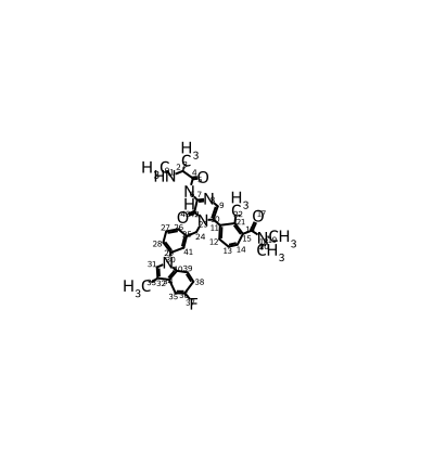 CN[C@@H](C)C(=O)Nc1ncc(-c2cccc(C(=O)N(C)C)c2C)n(Cc2cccc(-n3cc(C)c4cc(F)ccc43)c2)c1=O